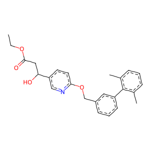 CCOC(=O)CC(O)c1ccc(OCc2cccc(-c3c(C)cccc3C)c2)nc1